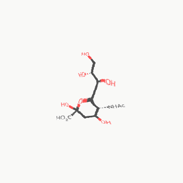 CC(=O)N[C@@H]1C(O)C[C@@](O)(C(=O)O)OC1[C@H](O)[C@H](O)CO